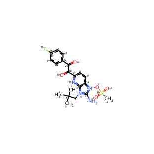 CC(C)(C)Cn1c(N)[n+](OS(C)(=O)=O)c2ccc(C(=O)C(=O)c3ccc(F)cc3)nc21